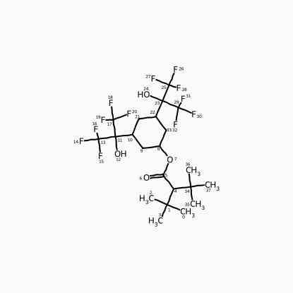 CC(C)(C)C(C(=O)OC1CC(C(O)(C(F)(F)F)C(F)(F)F)CC(C(O)(C(F)(F)F)C(F)(F)F)C1)C(C)(C)C